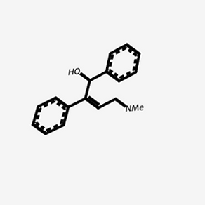 CNCC=C(c1ccccc1)C(O)c1ccccc1